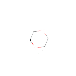 C1COCCO1.[Cl-].[GeH3+]